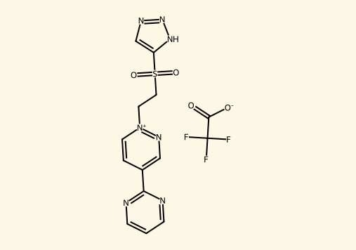 O=C([O-])C(F)(F)F.O=S(=O)(CC[n+]1ccc(-c2ncccn2)cn1)c1cnn[nH]1